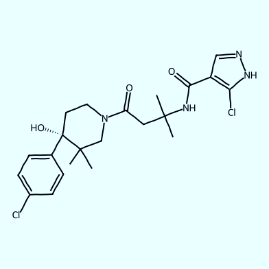 CC(C)(CC(=O)N1CC[C@](O)(c2ccc(Cl)cc2)C(C)(C)C1)NC(=O)c1cn[nH]c1Cl